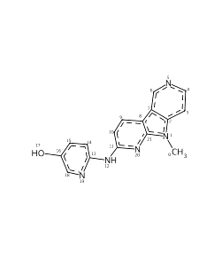 Cn1c2ccncc2c2ccc(Nc3ccc(O)cn3)nc21